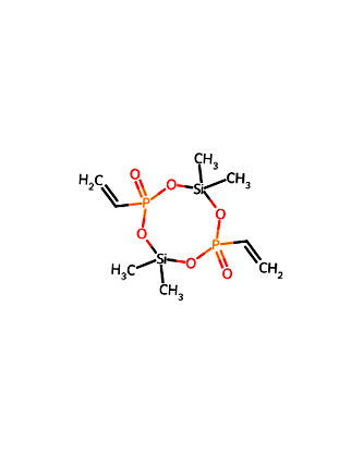 C=CP1(=O)O[Si](C)(C)OP(=O)(C=C)O[Si](C)(C)O1